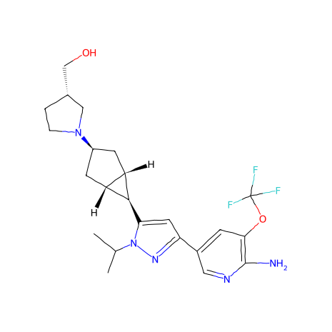 CC(C)n1nc(-c2cnc(N)c(OC(F)(F)F)c2)cc1[C@H]1[C@@H]2C[C@@H](N3CC[C@H](CO)C3)C[C@@H]21